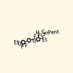 CCCCCC(C)CCC(CC)c1ccc(OCc2ccc(-c3ccc(OCC)c(F)c3F)cc2)c(F)c1F